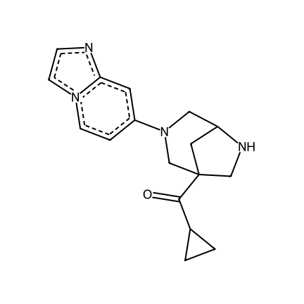 O=C(C1CC1)C12CNC(CN(c3ccn4ccnc4c3)C1)C2